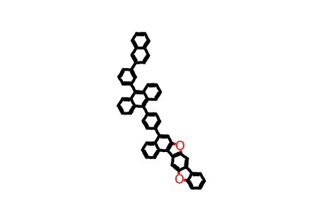 c1cc(-c2ccc3ccccc3c2)cc(-c2c3ccccc3c(-c3ccc(-c4cc5oc6cc7c(cc6c5c5ccccc45)oc4ccccc47)cc3)c3ccccc23)c1